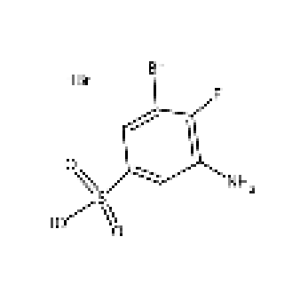 Br.Nc1cc(S(=O)(=O)O)cc(Br)c1F